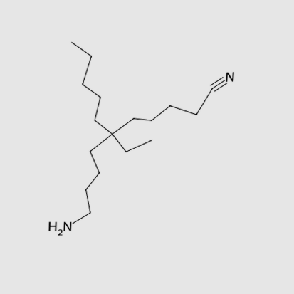 CCCCCC(CC)(CCCCN)CCCCC#N